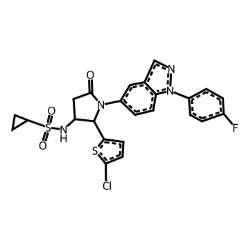 O=C1CC(NS(=O)(=O)C2CC2)C(c2ccc(Cl)s2)N1c1ccc2c(cnn2-c2ccc(F)cc2)c1